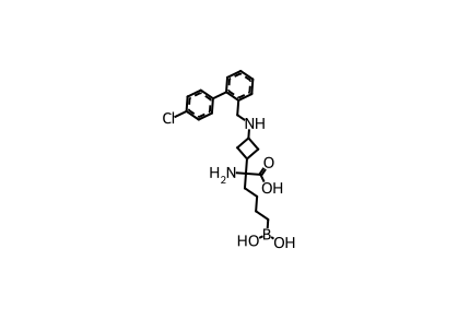 NC(CCCCB(O)O)(C(=O)O)C1CC(NCc2ccccc2-c2ccc(Cl)cc2)C1